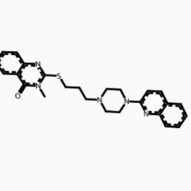 Cn1c(SCCCN2CCN(c3ccc4ccccc4n3)CC2)nc2ccccc2c1=O